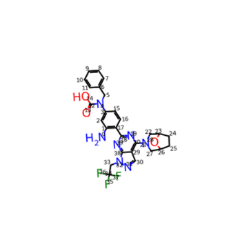 Nc1cc(N(Cc2ccccc2)C(=O)O)ccc1-c1nc(N2CC3CCC(C2)O3)c2cnn(CC(F)(F)F)c2n1